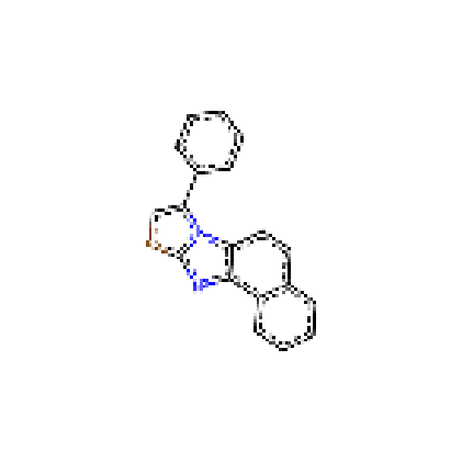 c1ccc(-c2csc3nc4c5ccccc5ccc4n23)cc1